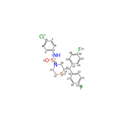 [O-][S+](Nc1ccc(Cl)cc1)N1CCSC(C(c2ccc(F)cc2)c2ccc(F)cc2)C1